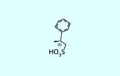 C[C@H](CS(=O)(=O)O)c1ccccc1